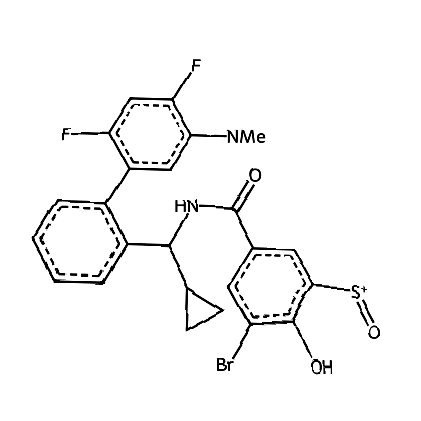 CNc1cc(-c2ccccc2C(NC(=O)c2cc(Br)c(O)c([S+]=O)c2)C2CC2)c(F)cc1F